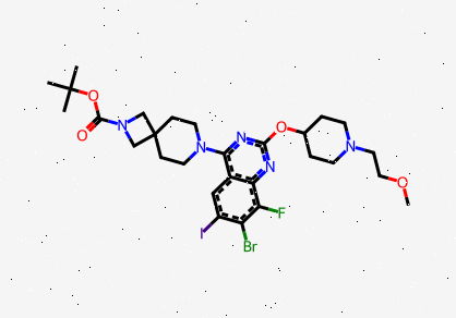 COCCN1CCC(Oc2nc(N3CCC4(CC3)CN(C(=O)OC(C)(C)C)C4)c3cc(I)c(Br)c(F)c3n2)CC1